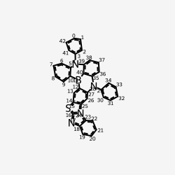 c1ccc(N2c3ccccc3B3c4cc5sc6nc7ccccc7n6c5cc4N(c4ccccc4)c4cccc2c43)cc1